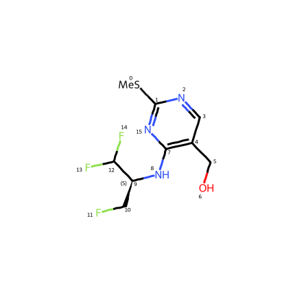 CSc1ncc(CO)c(N[C@@H](CF)C(F)F)n1